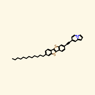 CCCCCCCCCCCCc1ccc2c(c1)sc1c3ccc(C#Cc4ccn5cccc5c4)cc3sc21